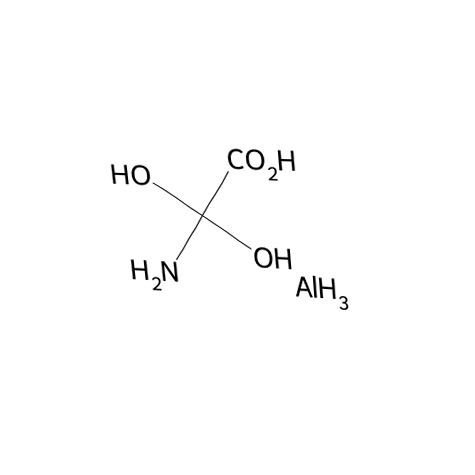 NC(O)(O)C(=O)O.[AlH3]